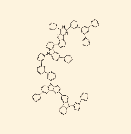 c1ccc(-c2cc(-c3ccccc3)cc(-c3cccc(-c4nc(-c5ccccc5)c5sc6c(-c7cccc8c7c7cc(-c9ccccc9)ccc7n8-c7cccc(-c8cccc(-c9cccc(-n%10c%11ccc(-c%12ccccc%12)cc%11c%11cc(-c%12ccc%13c(c%12)c%12ccccc%12n%13-c%12cccc(-c%13ccccc%13)c%12)ccc%11%10)c9)c8)c7)cccc6c5n4)c3)c2)cc1